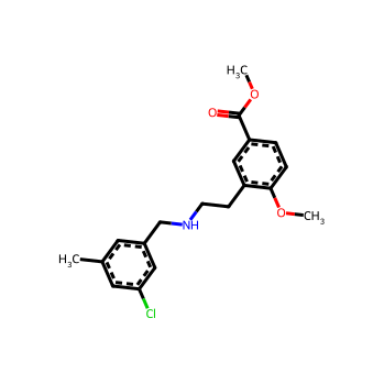 COC(=O)c1ccc(OC)c(CCNCc2cc(C)cc(Cl)c2)c1